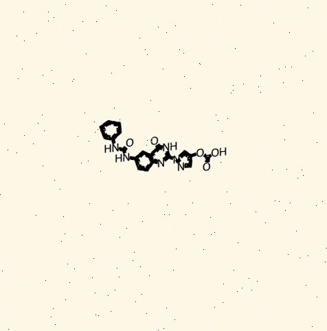 O=C(Nc1ccccc1)Nc1ccc2nc(-n3cc(OC(=O)O)cn3)[nH]c(=O)c2c1